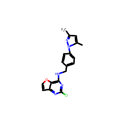 Cc1cc(C(F)(F)F)nn1-c1ccc(CNc2nc(Cl)nc3ccoc23)cc1